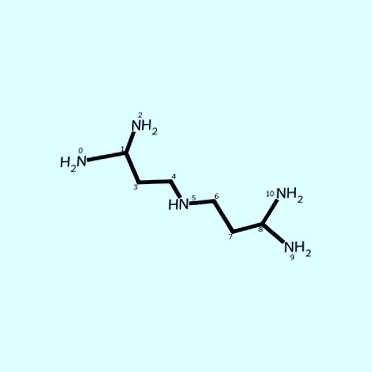 NC(N)CCNCCC(N)N